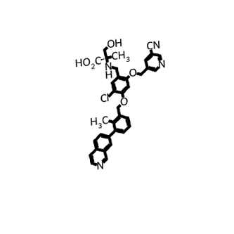 Cc1c(COc2cc(OCc3cncc(C#N)c3)c(CN[C@](C)(CO)C(=O)O)cc2Cl)cccc1-c1ccc2ccncc2c1